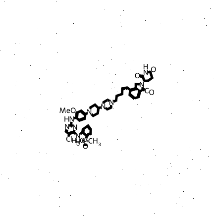 COc1cc(N2CCC(N3CCN(CCC/C=C\c4cccc5c4CN(C4CCC(=O)NC4=O)C5=C=O)CC3)CC2)ccc1Nc1ncc(Cl)c(Nc2ccccc2P(C)(C)=O)n1